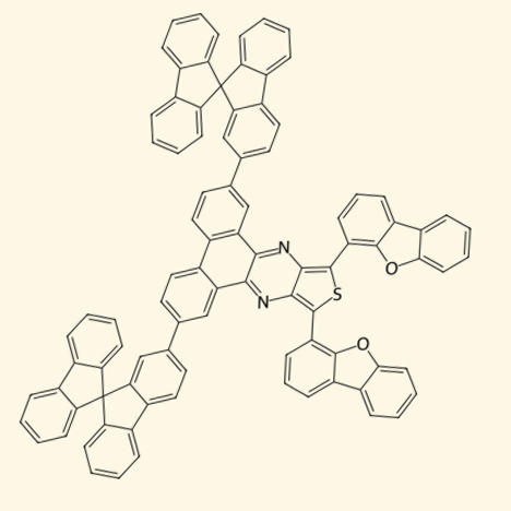 c1ccc2c(c1)-c1ccccc1C21c2ccccc2-c2ccc(-c3ccc4c5ccc(-c6ccc7c(c6)C6(c8ccccc8-c8ccccc86)c6ccccc6-7)cc5c5nc6c(-c7cccc8c7oc7ccccc78)sc(-c7cccc8c7oc7ccccc78)c6nc5c4c3)cc21